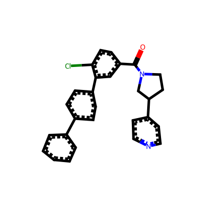 O=C(c1ccc(Cl)c(-c2ccc(-c3ccccc3)cc2)c1)N1CCC(c2ccncc2)C1